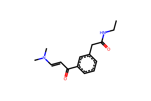 CCNC(=O)Cc1cccc(C(=O)/C=C/N(C)C)c1